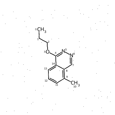 CCCOc1nncc2c(C)cccc12